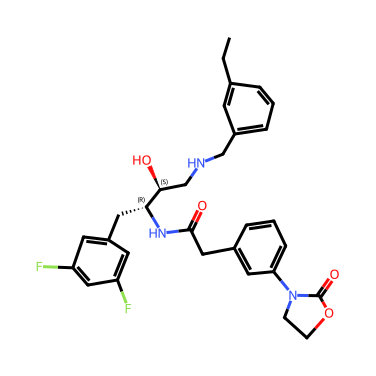 CCc1cccc(CNC[C@H](O)[C@@H](Cc2cc(F)cc(F)c2)NC(=O)Cc2cccc(N3CCOC3=O)c2)c1